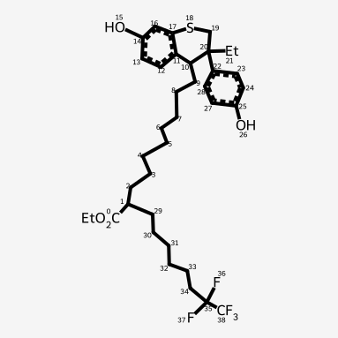 CCOC(=O)C(CCCCCCCCC1c2ccc(O)cc2SCC1(CC)c1ccc(O)cc1)CCCCCCC(F)(F)C(F)(F)F